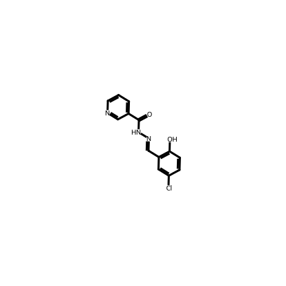 O=C(N/N=C/c1cc(Cl)ccc1O)c1cccnc1